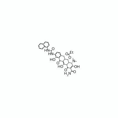 CCC(=O)O[C@@H]1C2C(C(=O)C(C(N)=O)=C(O)[C@H]2N(C)C)C(O)=C2C(=O)c3c(ccc(NC(=O)Nc4cccc5ccccc45)c3O)[C@H](C)C21